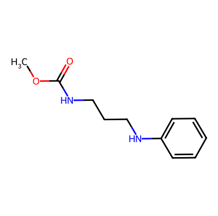 COC(=O)NCCCNc1ccccc1